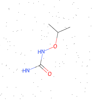 CC(C)ONC([NH])=O